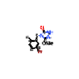 COc1n[nH]c(=O)n1Cc1cc(Br)ccc1C